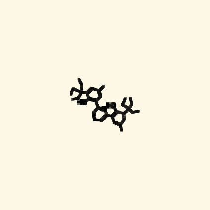 CCC(CC)(CC)c1cc(C)cc(-c2cccc(-c3cc(C)cc(C(CC)(CC)CC)c3O)n2)c1O